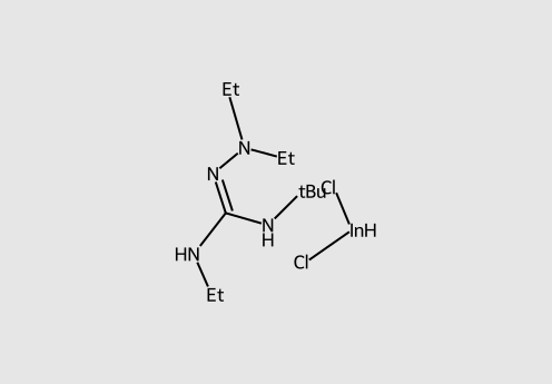 CCNC(=NN(CC)CC)NC(C)(C)C.[Cl][InH][Cl]